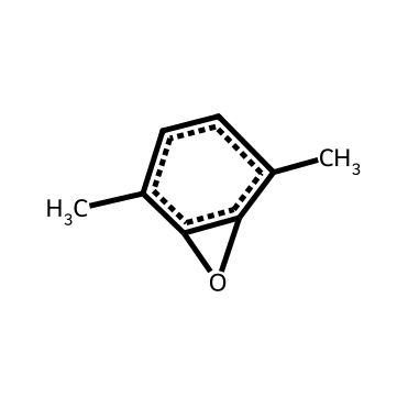 Cc1ccc(C)c2c1O2